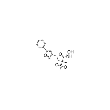 C[C@@](CCc1cc(-c2ccccc2)on1)(C(=O)NO)S(C)(=O)=O